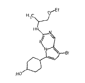 CCOCC(C)Nc1ncc2c(Br)cc(C3CCC(O)CC3)n2n1